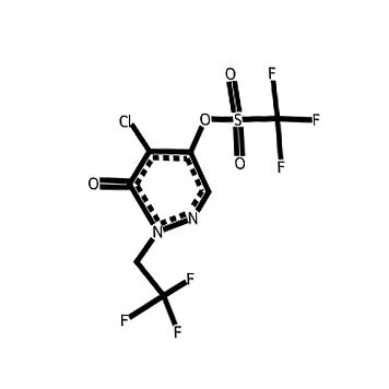 O=c1c(Cl)c(OS(=O)(=O)C(F)(F)F)cnn1CC(F)(F)F